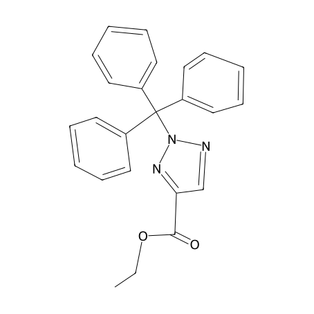 CCOC(=O)c1cnn(C(c2ccccc2)(c2ccccc2)c2ccccc2)n1